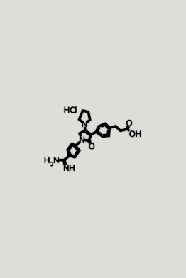 Cl.N=C(N)c1ccc(N2CC(N3CCCC3)=C(c3ccc(CCC(=O)O)cc3)C2=O)cc1